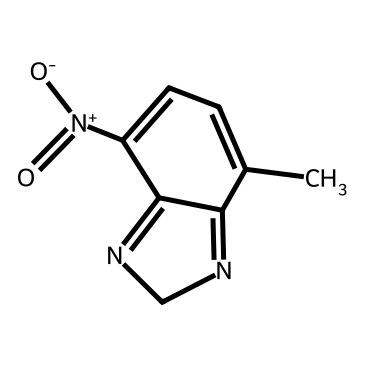 Cc1ccc([N+](=O)[O-])c2c1=NCN=2